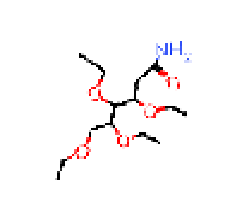 CCOCC(OCC)C(OCC)C(CC(N)=O)OCC